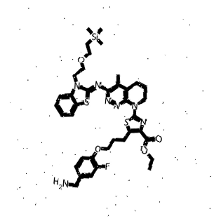 CCOC(=O)c1nc(N2CCCc3c2nnc(/N=c2\sc4ccccc4n2CCOCC[Si](C)(C)C)c3C)sc1CCCOc1ccc(CN)cc1F